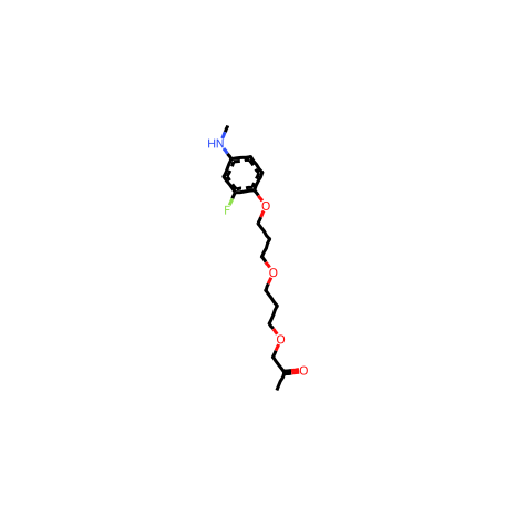 CNc1ccc(OCCCOCCCOCC(C)=O)c(F)c1